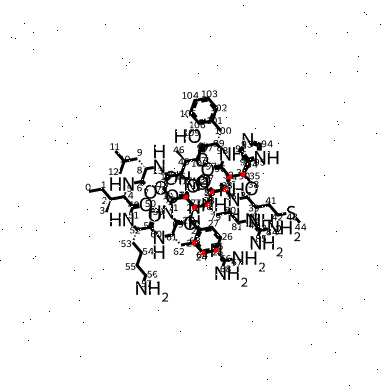 CC[C@H](C)[C@H](NC(=O)[C@H](CC(C)C)NC(=O)[C@@H](NC(=O)[C@H](Cc1ccccc1)NC(=O)[C@H](CC(C)C)NC(=O)[C@@H](N)CCSC)[C@@H](C)CC)C(=O)N[C@@H](CCCCN)C(=O)N[C@@H](CCCN=C(N)N)C(=O)N[C@@H](CO)C(=O)N[C@@H](CCCN=C(N)N)C(=O)N[C@@H](Cc1cnc[nH]1)C(=O)N[C@@H](Cc1ccccc1)C(=O)O